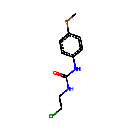 CSc1ccc(NC(=O)NCCCl)cc1